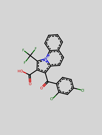 O=C(O)c1c(C(=O)c2ccc(Cl)cc2Cl)c2ccc3ccccc3n2c1C(F)(F)F